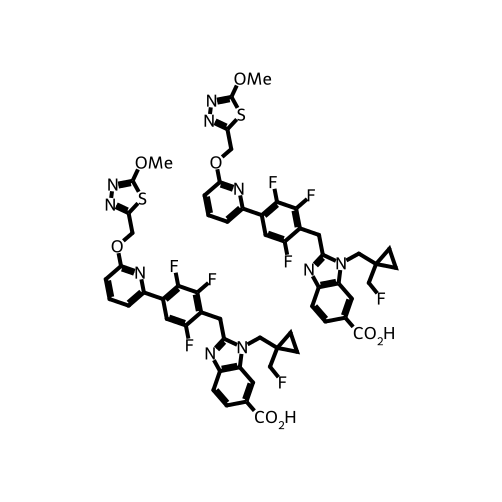 COc1nnc(COc2cccc(-c3cc(F)c(Cc4nc5ccc(C(=O)O)cc5n4CC4(CF)CC4)c(F)c3F)n2)s1.COc1nnc(COc2cccc(-c3cc(F)c(Cc4nc5ccc(C(=O)O)cc5n4CC4(CF)CC4)c(F)c3F)n2)s1